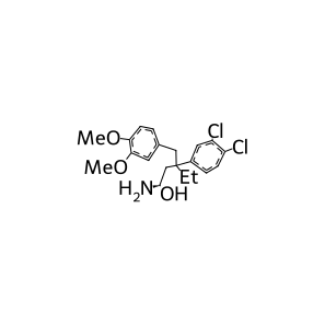 CCC(Cc1ccc(OC)c(OC)c1)(C[C@H](N)O)c1ccc(Cl)c(Cl)c1